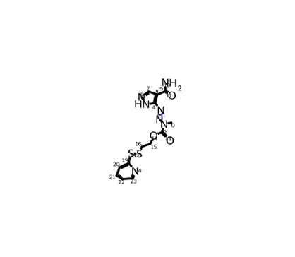 CN(/N=N/c1[nH]ncc1C(N)=O)C(=O)OCCSSc1ccccn1